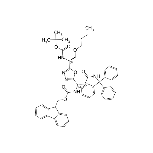 CCCCOC[C@H](NC(=O)OC(C)(C)C)c1nnc([C@H](CC(=O)NC(c2ccccc2)(c2ccccc2)c2ccccc2)NC(=O)OCC2c3ccccc3-c3ccccc32)o1